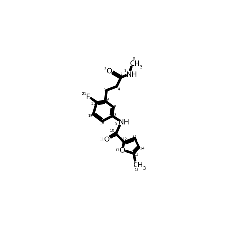 CNC(=O)CCc1cc(NC(=O)c2ccc(C)o2)ccc1F